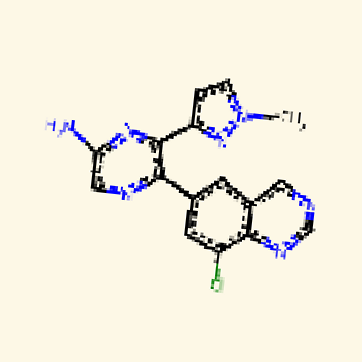 Cn1ccc(-c2nc(N)cnc2-c2cc(Cl)c3ncncc3c2)n1